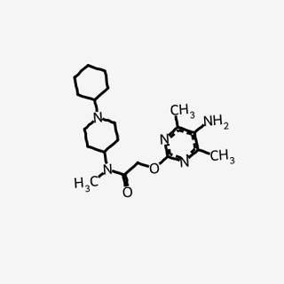 Cc1nc(OCC(=O)N(C)C2CCN(C3CCCCC3)CC2)nc(C)c1N